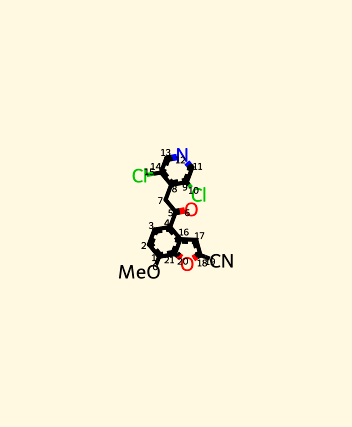 COc1ccc(C(=O)Cc2c(Cl)cncc2Cl)c2cc(C#N)oc12